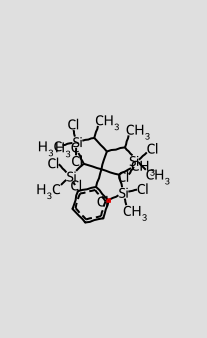 CC(C(C(C)[Si](C)(Cl)Cl)C(c1ccccc1)(C(C)[Si](C)(Cl)Cl)C(C)[Si](C)(Cl)Cl)[Si](C)(Cl)Cl